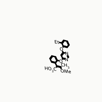 CCc1ccccc1Oc1cc(Oc2ccccc2C(C(=O)O)=C(C)OC)ncn1